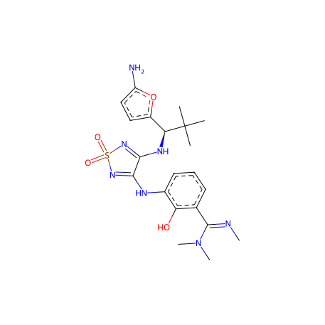 C/N=C(/c1cccc(NC2=NS(=O)(=O)N=C2N[C@@H](c2ccc(N)o2)C(C)(C)C)c1O)N(C)C